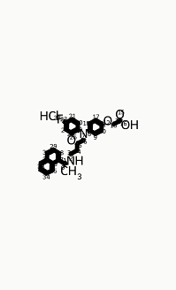 C[C@@H](NCCC1CN(c2ccc(OCC(=O)O)cc2)c2ccc(F)cc2O1)c1cccc2ccccc12.Cl